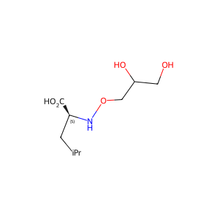 CC(C)C[C@H](NOCC(O)CO)C(=O)O